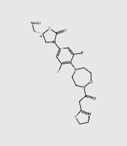 CC(=O)NC[C@H]1CN(c2cc(F)c(N3CCON(C(=O)CC4=NCCS4)CC3)c(F)c2)C(=O)O1